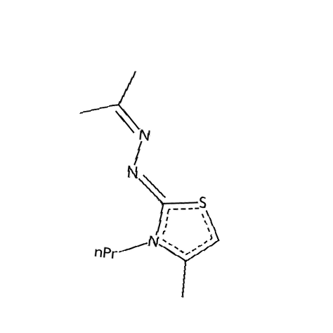 CCCn1c(C)csc1=NN=C(C)C